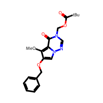 COc1c(OCc2ccccc2)cn2ncn(COC(=O)C(C)(C)C)c(=O)c12